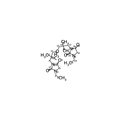 CCN1CC(=O)N(CC(C)(C)COCC(C)(C)CN2C(=O)CN(CC)C2=O)C1=O